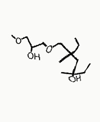 CCC(C)(O)CC(C)(CC)COCC(O)COC